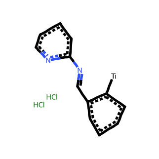 Cl.Cl.[Ti][c]1ccccc1C=Nc1ccccn1